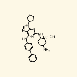 Cl.Cl.NC1CCC(Nc2nc(Nc3ccc(-c4ccccc4)cc3)c3ncn(C4CCCC4)c3n2)CC1